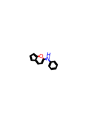 c1ccc(Nc2ccc3cccc-3o2)cc1